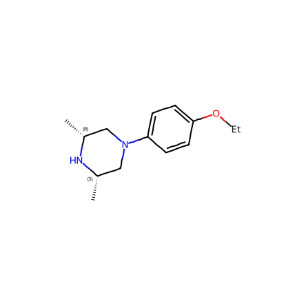 CCOc1ccc(N2C[C@@H](C)N[C@@H](C)C2)cc1